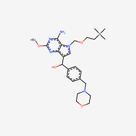 CCCCOc1nc(N)c2c(n1)c(C(O)c1ccc(CN3CCOCC3)cc1)cn2COCC[Si](C)(C)C